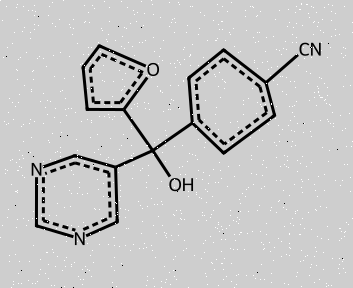 N#Cc1ccc(C(O)(c2cncnc2)c2ccco2)cc1